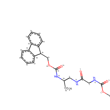 CC(C)(C)OC(=O)NCC(=O)NCC(NC(=O)OCC1c2ccccc2-c2ccccc21)C(=O)O